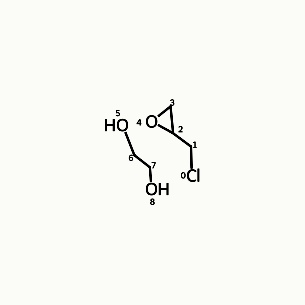 ClCC1CO1.OCCO